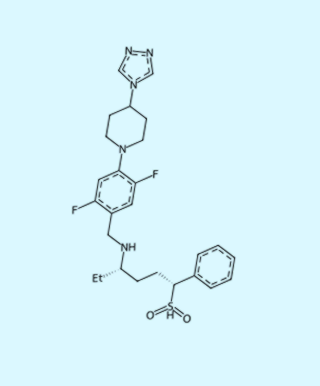 CC[C@@H](CC[C@H](c1ccccc1)[SH](=O)=O)NCc1cc(F)c(N2CCC(n3cnnc3)CC2)cc1F